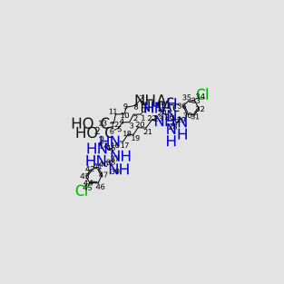 CC(=O)NCCCCCC(=O)O.CC(=O)NCCCCCC(=O)O.N=C(NCCCCCCNC(=N)NC(=N)Nc1ccc(Cl)cc1)NC(=N)Nc1ccc(Cl)cc1